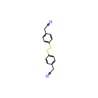 N#CCc1ccc(SSc2ccc(CC#N)cc2)cc1